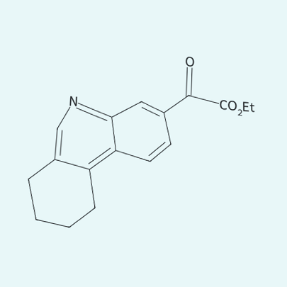 CCOC(=O)C(=O)c1ccc2c3c(cnc2c1)CCCC3